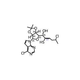 CC(Cl)C/C=C(\S)[C@H](O)[C@H]1O[C@@H](n2ccc3c(Cl)ncnc32)[C@@H]2OC(C)(C)O[C@@H]21